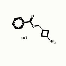 Cl.N[C@H]1C[C@H](COC(=O)c2ccccc2)C1